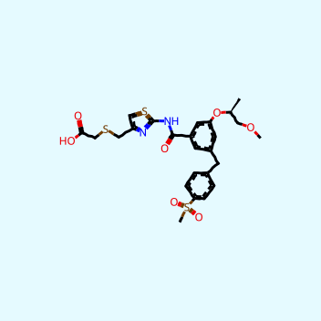 COC[C@H](C)Oc1cc(Cc2ccc(S(C)(=O)=O)cc2)cc(C(=O)Nc2nc(CSCC(=O)O)cs2)c1